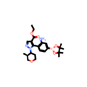 CCOC(=O)c1cnn(C2CCOCC2C)c1-c1ccc(B2OC(C)(C)C(C)(C)O2)cc1N